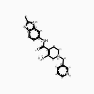 Cc1nc2ccc(NC(=O)C3=C(N)CN(Cc4cccnc4)CC3)cc2s1